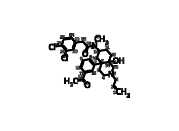 C=CCN1CCC2(c3cccc(C(C)=O)c3)CC(N(C)C(=O)Cc3ccc(Cl)c(Cl)c3)CCC2(O)C1